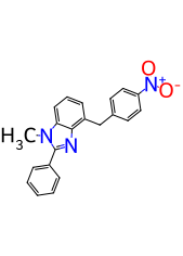 Cn1c(-c2ccccc2)nc2c(Cc3ccc([N+](=O)[O-])cc3)cccc21